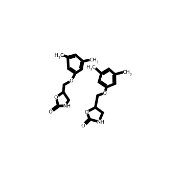 Cc1cc(C)cc(OCC2CNC(=O)O2)c1.Cc1cc(C)cc(OCC2CNC(=O)O2)c1